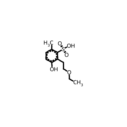 CCOCCc1c(O)ccc(C)c1S(=O)(=O)O